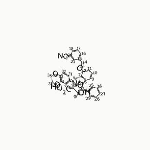 CC(O)C(C(=O)O)[N+](Cc1ccccc1OCc1cccc(C#N)c1)(OCc1ccccc1)c1ccc2c(c1)OCCO2